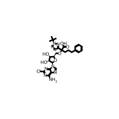 CC(C)(C)n1nnc(C(CCCc2ccccc2)(OC[C@H]2O[C@@H](n3cnc4c(N)nc(Cl)nc43)[C@H](O)[C@H]2O)C(=O)O)n1